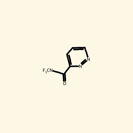 O=C(NC(F)(F)F)c1cccnn1